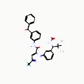 CC(C)(C)C(NC(=O)O)c1cccc(-n2nc(C(F)(F)F)cc2C(=O)N(F)c2cccc(C(O)c3ccccc3)c2)c1